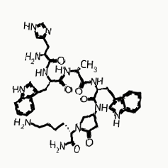 C[C@H](NC(=O)[C@@H](Cc1c[nH]c2ccccc12)NC(=O)[C@@H](N)Cc1c[nH]cn1)C(=O)N[C@@H](Cc1c[nH]c2ccccc12)C(=O)N[C@H]1CC(=O)N([C@@H](CCCCN)C(N)=O)C1